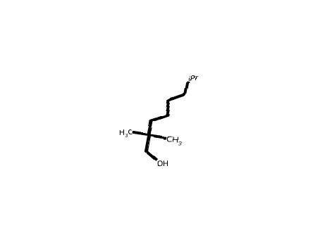 CC(C)CCCCC(C)(C)CO